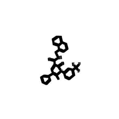 Cc1c(-c2ccccc2)cc(C(=O)NCc2cccc3ccccc23)c(=O)n1-c1cccc(C(F)(F)F)c1